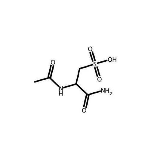 CC(=O)NC(CS(=O)(=O)O)C(N)=O